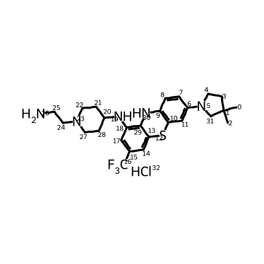 CC1(C)CCN(c2ccc3c(c2)Sc2cc(C(F)(F)F)cc(NC4CCN(CCN)CC4)c2N3)C1.Cl